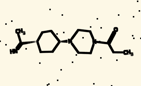 CCC(=O)N1CCN([C@H]2CC[C@@H](C(C)=N)CC2)CC1